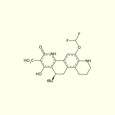 CC(C)(C)[C@@H]1Cc2c(cc(OC(F)F)c3c2CCCN3)-c2[nH]c(=O)c(C(=O)O)c(O)c21